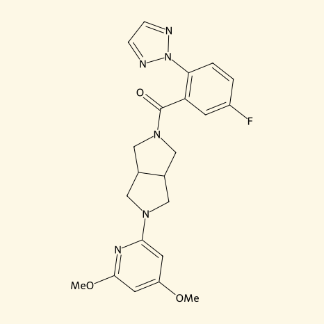 COc1cc(OC)nc(N2CC3CN(C(=O)c4cc(F)ccc4-n4nccn4)CC3C2)c1